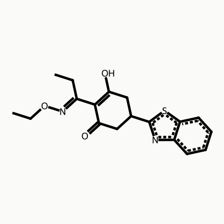 CCON=C(CC)C1=C(O)CC(c2nc3ccccc3s2)CC1=O